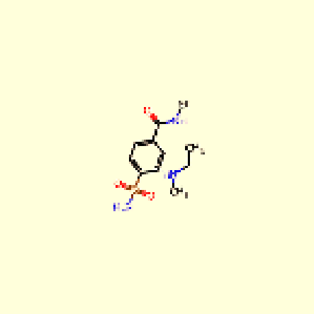 CCNC.CCNC(=O)c1ccc(S(N)(=O)=O)cc1